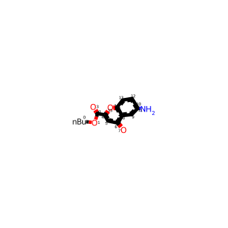 CCCCOC(=O)c1cc(=O)c2cc(N)ccc2o1